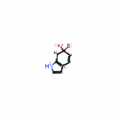 BrC1(Br)C=Cc2cc[nH]c2C1